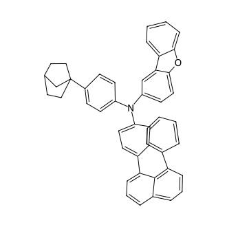 c1ccc(-c2cccc3cccc(-c4ccc(N(c5ccc(C67CCC(CC6)C7)cc5)c5ccc6oc7ccccc7c6c5)cc4)c23)cc1